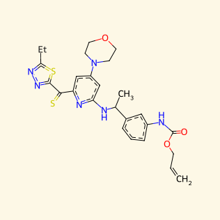 C=CCOC(=O)Nc1cccc(C(C)Nc2cc(N3CCOCC3)cc(C(=S)c3nnc(CC)s3)n2)c1